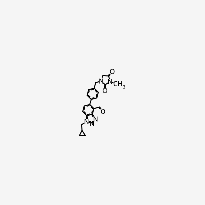 CN1C(=O)CN(Cc2ccc(-c3ccc4c(nnn4CC4CC4)c3C=O)cc2)C1=O